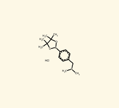 CN(C)Cc1ccc(B2OC(C)(C)C(C)(C)O2)cc1.Cl